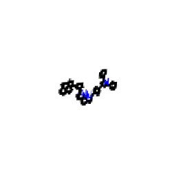 c1ccc(-c2cc(-c3ccc(-c4ccc5ccc6ccc(-c7cccc(-c8ccc9ccc%10cccc%11ccc8c9c%10%11)c7)nc6c5n4)cc3)cc(-c3ccccc3)n2)cc1